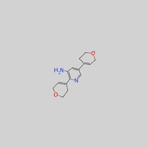 Nc1cc(C2=CCOCC2)cnc1C1=CCOCC1